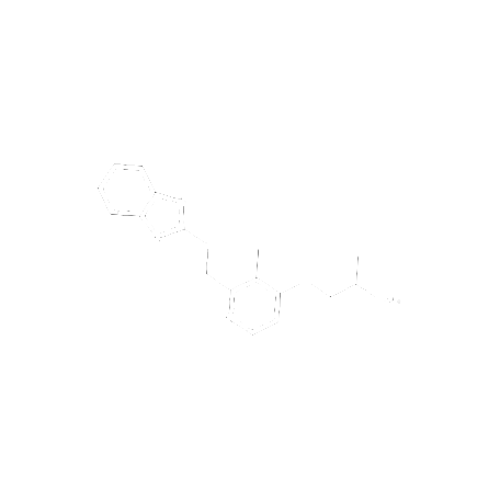 COC(C)COc1ccnc(CSc2nc3ccccc3[nH]2)c1C